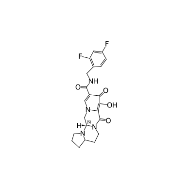 O=C(NCc1ccc(F)cc1F)c1cn2c(c(O)c1=O)C(=O)N1CCC3CCCN3[C@@H]1C2